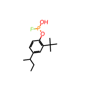 CCC(C)c1ccc(OP(O)F)c(C(C)(C)C)c1